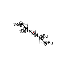 CC(C)(C)OC(=O)NCCCCN(CCCCNCc1ccc(CNCCCCN(CCCCNC(=O)OC(C)(C)C)C(=O)OC(C)(C)C)cc1)C(=O)OC(C)(C)C